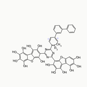 C=C(/C=C\C(=C/C)c1cccc(-c2ccccc2)c1)c1nc(-c2c(O)c(O)c3c(oc4c(O)c(O)c(O)c(O)c43)c2O)nc(-c2c(O)c(O)c(O)c3c2oc2cc(O)c(O)c(O)c23)n1